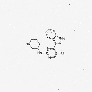 Clc1cnc(NC2CCCNC2)nc1-c1c[nH]c2ccccc12